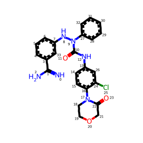 N=C(N)c1cccc(NN(C(=O)Nc2ccc(N3CCOCC3=O)c(Cl)c2)c2ccccc2)c1